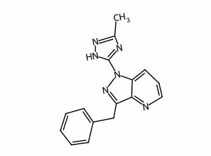 Cc1n[nH]c(-n2nc(Cc3ccccc3)c3ncccc32)n1